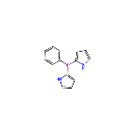 c1ccc(P(c2ccc[nH]2)c2ccc[nH]2)cc1